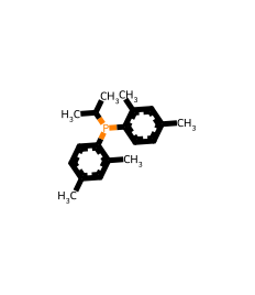 Cc1ccc(P(c2ccc(C)cc2C)C(C)C)c(C)c1